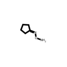 NON=C1CCCC1